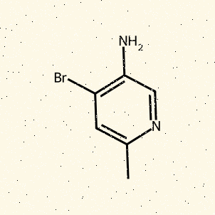 Cc1cc(Br)c(N)cn1